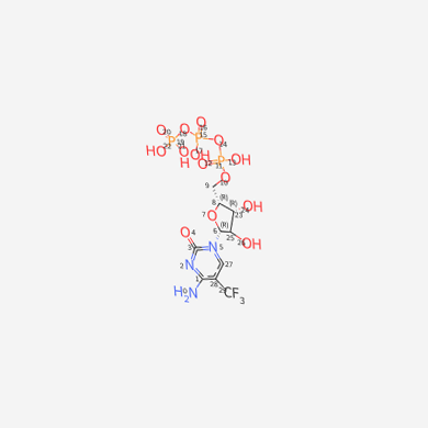 Nc1nc(=O)n([C@@H]2O[C@H](COP(=O)(O)OP(=O)(O)OP(=O)(O)O)[C@H](O)C2O)cc1C(F)(F)F